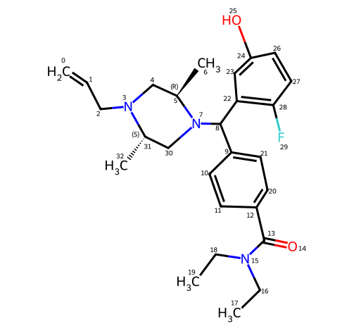 C=CCN1C[C@@H](C)N(C(c2ccc(C(=O)N(CC)CC)cc2)c2cc(O)ccc2F)C[C@@H]1C